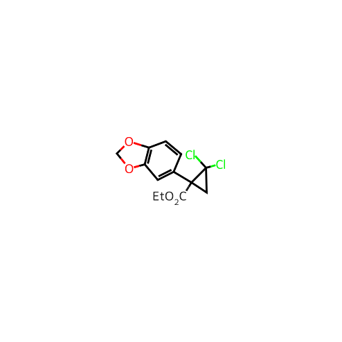 CCOC(=O)C1(c2ccc3c(c2)OCO3)CC1(Cl)Cl